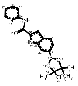 CC1(C)OB(c2ccc3cc(C(=O)Nc4ccccn4)[nH]c3c2)OC1(C)C